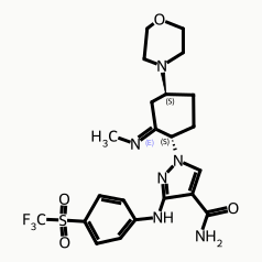 C/N=C1\C[C@@H](N2CCOCC2)CC[C@@H]1n1cc(C(N)=O)c(Nc2ccc(S(=O)(=O)C(F)(F)F)cc2)n1